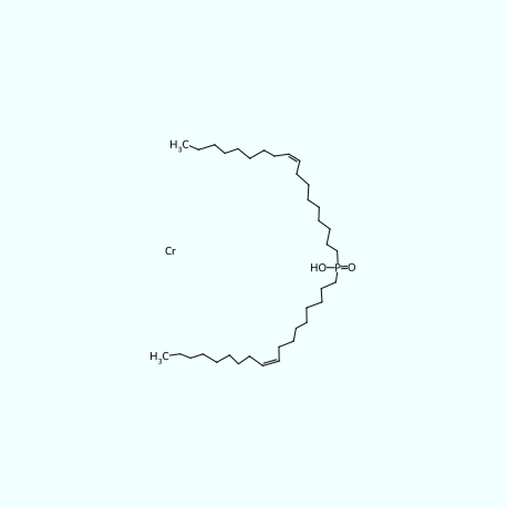 CCCCCCCC/C=C\CCCCCCCCP(=O)(O)CCCCCCCC/C=C\CCCCCCCC.[Cr]